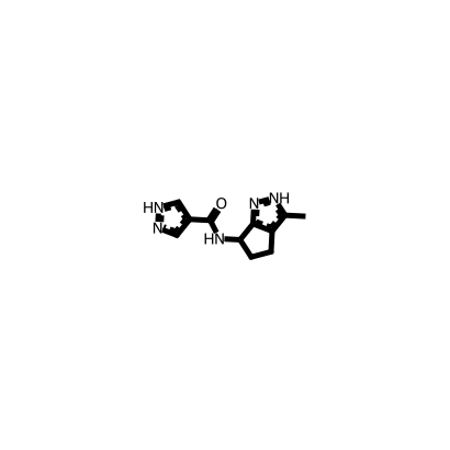 Cc1[nH]nc2c1CCC2NC(=O)c1cn[nH]c1